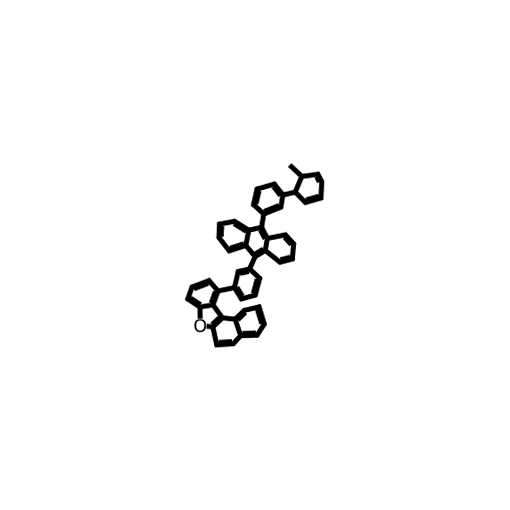 CC1C=CC=CC1c1cccc(-c2c3ccccc3c(-c3cccc(-c4cccc5oc6ccc7ccccc7c6c45)c3)c3ccccc23)c1